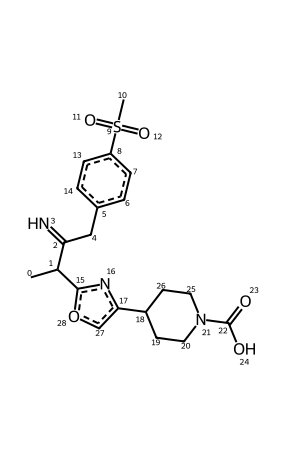 CC(C(=N)Cc1ccc(S(C)(=O)=O)cc1)c1nc(C2CCN(C(=O)O)CC2)co1